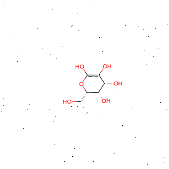 OC[C@@H]1OC(O)=C(O)[C@H](O)[C@@H]1O